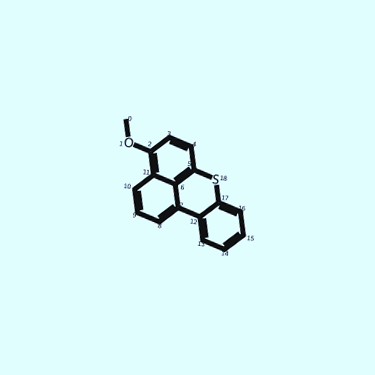 COc1ccc2c3c(cccc13)-c1ccccc1S2